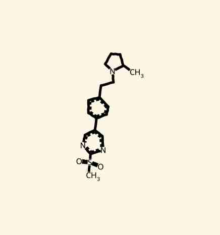 CC1CCCN1CCc1ccc(-c2cnc(S(C)(=O)=O)nc2)cc1